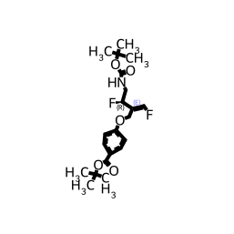 CC(C)(C)OC(=O)NC[C@H](F)/C(=C/F)COc1ccc(C(=O)OC(C)(C)C)cc1